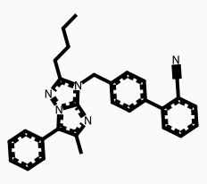 CCCCc1nn2c(-c3ccccc3)c(C)nc2n1Cc1ccc(-c2ccccc2C#N)cc1